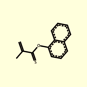 C=C(C)C(=S)Oc1cccc2ccccc12